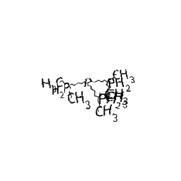 CCCCC(P)(CCCC)CCCCCP(CCCCCC(P)(CCCC)CCCC)CCCCCC(P)(CCCC)CCCC